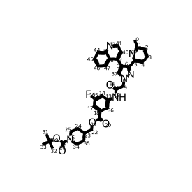 Cc1cccc(-c2nn(CC(=O)Nc3cc(F)cc(C(=O)OCC4CCN(C(=O)OC(C)(C)C)CC4)c3)cc2-c2ccnc3ccccc23)n1